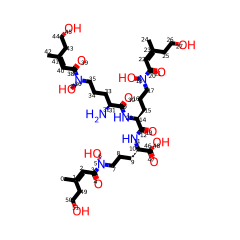 C/C(=C/C(=O)N(O)CCC[C@H](NC(=O)[C@H](CCCN(O)C(=O)/C=C(/C)CCO)NC(=O)[C@@H](N)CCCN(O)C(=O)/C=C(/C)CCO)C(=O)O)CCO